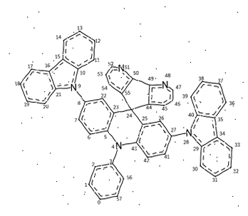 c1ccc(N2c3ccc(-n4c5ccccc5c5ccccc54)cc3C3(c4cc(-n5c6ccccc6c6ccccc65)ccc42)c2cccnc2-c2ncccc23)cc1